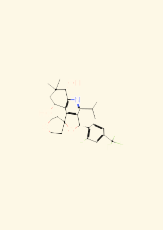 CC(C)c1nc2c(c3c1[C@@H](c1ccc(C(F)(F)F)cc1F)OC31CCOCC1)[C@@H](O)CC(C)(C)[C@@H]2O